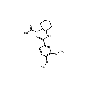 COc1ccc(C(=O)NN2CCCCC2OC(=O)O)cc1OC